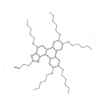 C=CCCc1nc2c(o1)c(OCCCCC)cc1c3cc(OCCCCC)c(OCCCCC)cc3c3cc(OCCCCC)c(OCCCCC)cc3c12